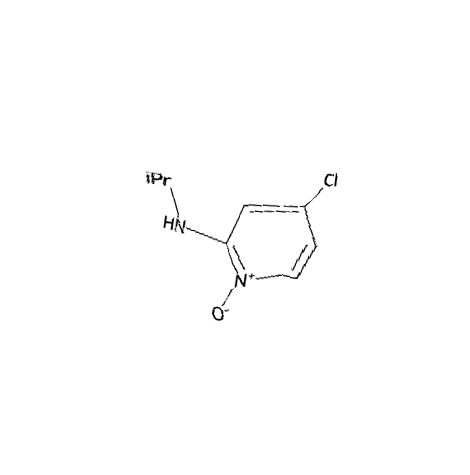 CC(C)Nc1cc(Cl)cc[n+]1[O-]